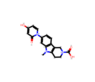 Cn1c2c(c3ccc(-n4ccc(O)cc4=O)cc31)CN(C(=O)O)CC2